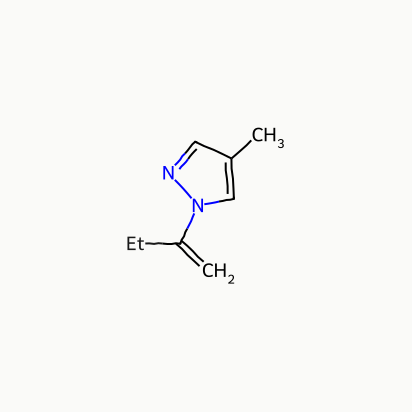 C=C(CC)n1cc(C)cn1